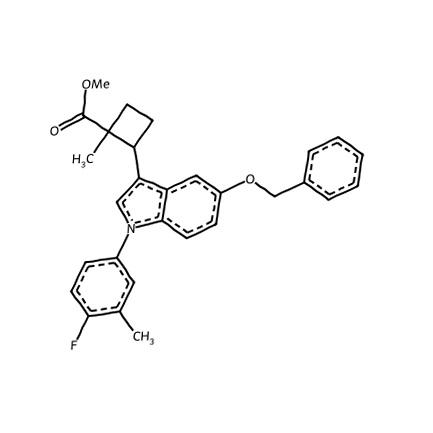 COC(=O)C1(C)CCC1c1cn(-c2ccc(F)c(C)c2)c2ccc(OCc3ccccc3)cc12